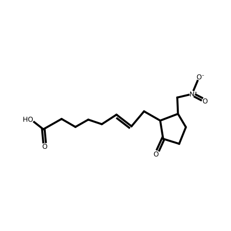 O=C(O)CCCC/C=C/CC1C(=O)CCC1C[N+](=O)[O-]